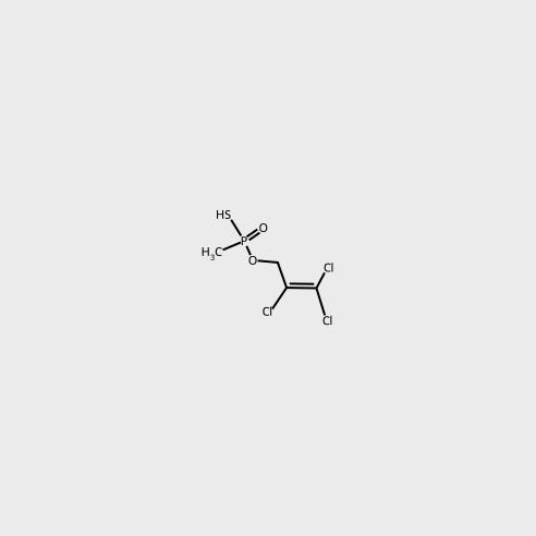 CP(=O)(S)OCC(Cl)=C(Cl)Cl